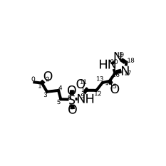 CC(=O)CCCS(=O)(=O)NC(=O)CCC(=O)c1ncn[nH]1